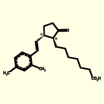 Cc1ccc(C=C[C@@H]2CCC(=O)[C@H]2CCCCCCC(=O)O)c(C)c1